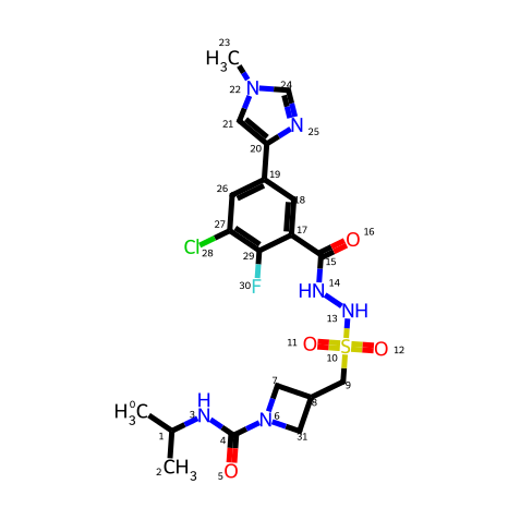 CC(C)NC(=O)N1CC(CS(=O)(=O)NNC(=O)c2cc(-c3cn(C)cn3)cc(Cl)c2F)C1